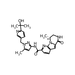 Cc1cc(NC(=O)c2ccc3cc4n(c3n2)[C@H](C)CNC4=O)nn1Cc1ccc(C(C)(C)O)nc1